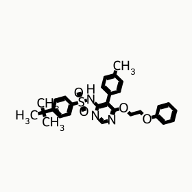 Cc1ccc(-c2c(NS(=O)(=O)c3ccc(C(C)(C)C)cc3)ncnc2OCCOc2ccccc2)cc1